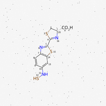 O=C(O)[C@H]1CSC(c2nc3ccc(NS)cc3s2)=N1